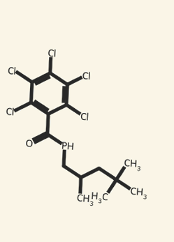 CC(CPC(=O)c1c(Cl)c(Cl)c(Cl)c(Cl)c1Cl)CC(C)(C)C